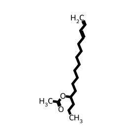 C=CC=CCCCCCCCCC(CCC)OC(C)=O